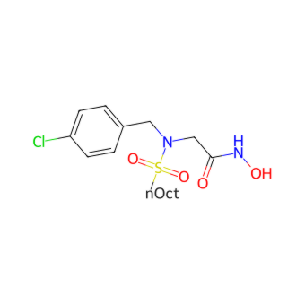 CCCCCCCCS(=O)(=O)N(CC(=O)NO)Cc1ccc(Cl)cc1